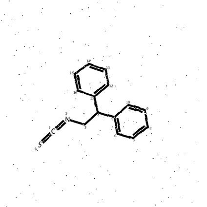 S=C=NCC(c1ccccc1)c1ccccc1